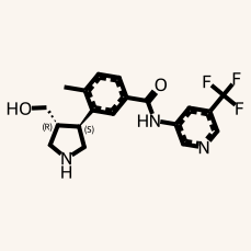 Cc1ccc(C(=O)Nc2cncc(C(F)(F)F)c2)cc1[C@H]1CNC[C@@H]1CO